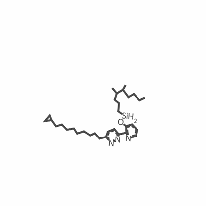 CCCCC(C)C(C)CCC[SiH2]Oc1cccnc1-c1ccc(CCCCCCCCCC2CC2)nn1